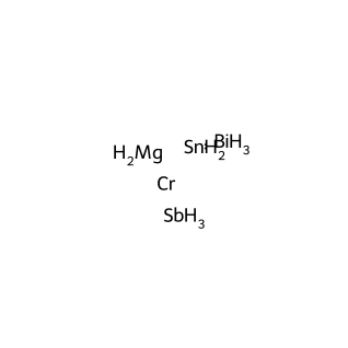 [BiH3].[Cr].[MgH2].[SbH3].[SnH2]